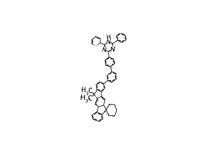 CC1(C)C2=CC3c4ccccc4C4(CCCCC4)C3C=C2c2cc(-c3cccc(-c4ccc(C5=NC(c6ccccc6)NC(C6C=CC=CC6)=N5)cc4)c3)ccc21